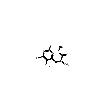 Cc1c(Cl)nc(Cl)nc1CN(C)C(=O)OC(C)(C)C